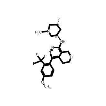 COc1ccc(-c2nnc(N[C@@H]3C[C@@H](F)CN(C)C3)c3c2CCOC3)c(C(F)(F)F)c1